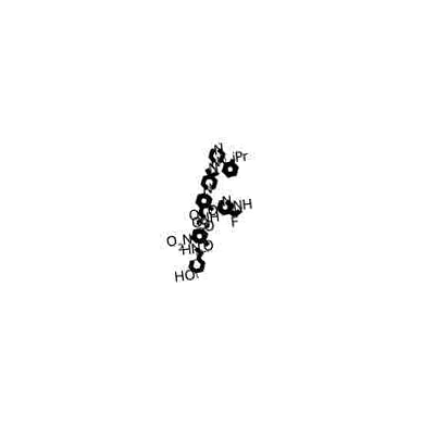 CC(C)c1ccccc1[C@@H]1CN(C)CCN1N1CC2(CCN(c3ccc(C(=O)NS(=O)(=O)c4cc5c(c([N+](=O)[O-])c4)N[C@@H]([C@H]4CC[C@](C)(O)CC4)CO5)c(Oc4cnc5[nH]cc(F)c5c4)c3)CC2)C1